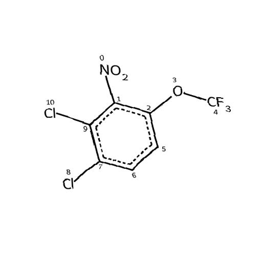 O=[N+]([O-])c1c(OC(F)(F)F)ccc(Cl)c1Cl